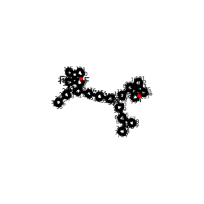 Fc1ccc2c(c1)C1(c3ccccc3-c3ccccc31)c1cc(F)cc(N(c3ccc(-c4ccccc4)cc3)c3ccc(-c4ccc(-c5ccc(-c6ccc(N(c7ccc(-c8ccc9c(c8)c8ccccc8n9-c8ccccc8)cc7)c7ccc(-c8cccc9c8-c8ccccc8C98c9ccccc9-c9ccccc98)cc7)cc6)cc5)cc4)cc3)c1-2